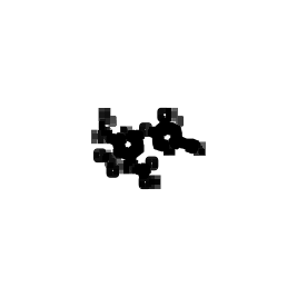 CNc1nc(Oc2cnc(C#N)cc2C)cc(NC(=O)O)c1[N+](=O)[O-]